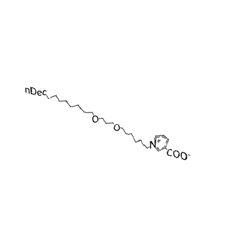 CCCCCCCCCCCCCCCCCCOCCCOCCCCCC[n+]1cccc(C(=O)[O-])c1